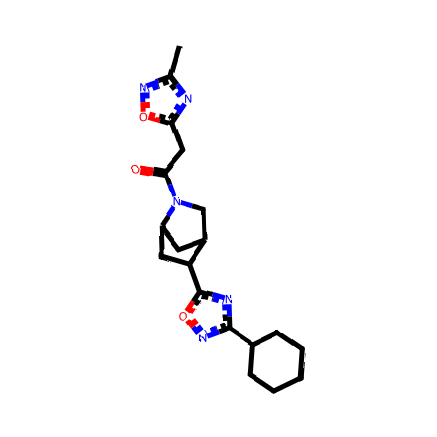 Cc1noc(CC(=O)N2CC3CC2CC3c2nc(C3CCCCC3)no2)n1